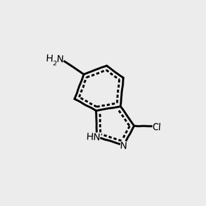 Nc1ccc2c(Cl)n[nH]c2c1